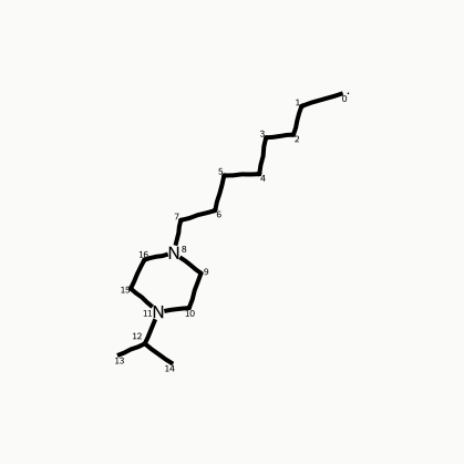 [CH2]CCCCCCCN1CCN(C(C)C)CC1